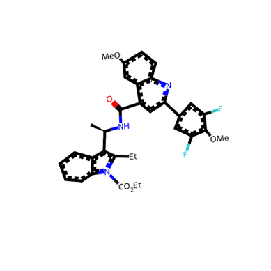 CCOC(=O)n1c(CC)c([C@@H](C)NC(=O)c2cc(-c3cc(F)c(OC)c(F)c3)nc3ccc(OC)cc23)c2ccccc21